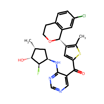 [CH2][C@@H]1C[C@@H](Nc2ncncc2C(=O)c2cc([C@@H]3OCCc4ccc(Cl)cc43)c(C)s2)[C@@H](F)[C@@H]1O